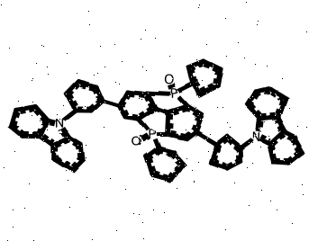 O=P1(c2ccccc2)c2cc(-c3cccc(-n4c5ccccc5c5ccccc54)c3)cc3c2-c2c1cc(-c1cccc(-n4c5ccccc5c5ccccc54)c1)cc2P3(=O)c1ccccc1